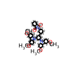 COc1ccc2c(c1)c1cc(OC)ccc1n2-c1cc(-c2cccc(N3C(=O)c4ccccc4C3=O)c2)cc(-n2c3ccc(OC)cc3c3cc(OC)ccc32)c1